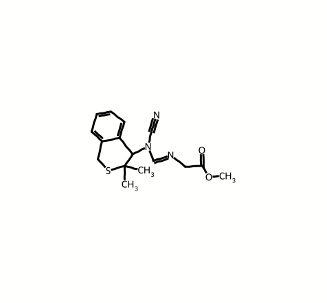 COC(=O)CN=CN(C#N)C1c2ccccc2CSC1(C)C